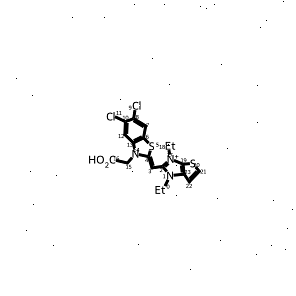 CCn1c(/C=C2\Sc3cc(Cl)c(Cl)cc3N2CC(=O)O)[n+](CC)c2sccc21